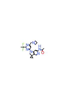 CC(=O)Nc1cc2c(cn1)C1(CC1)CN2c1cc(CN2CCC2)nc(C(C)(F)F)n1